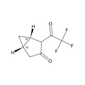 O=C1C[C@@H]2C[C@@H]2C1C(=O)C(F)(F)F